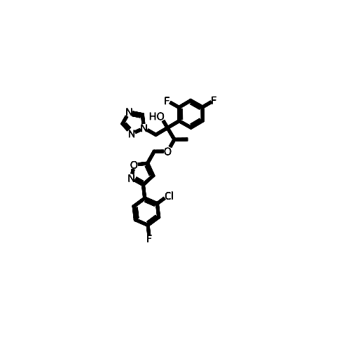 CC(OCc1cc(-c2ccc(F)cc2Cl)no1)C(O)(Cn1cncn1)c1ccc(F)cc1F